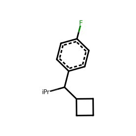 CC(C)C(c1ccc(F)cc1)C1CCC1